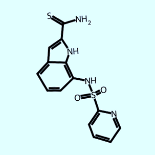 NC(=S)c1cc2cccc(NS(=O)(=O)c3ccccn3)c2[nH]1